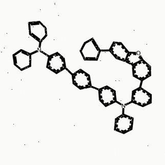 C1=CCCC(N(C2=CC=CCC2)c2ccc(-c3ccc(-c4ccc(N(c5ccccc5)c5cccc(-c6ccc7oc8ccc(C9=CCCC=C9)cc8c7c6)c5)cc4)cc3)cc2)=C1